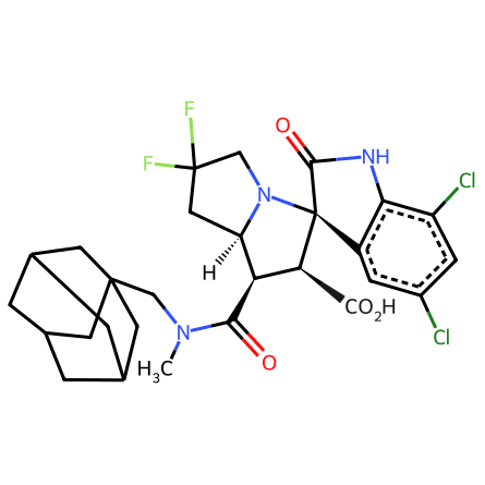 CN(CC12CC3CC(CC(C3)C1)C2)C(=O)[C@H]1[C@H]2CC(F)(F)CN2[C@]2(C(=O)Nc3c(Cl)cc(Cl)cc32)[C@H]1C(=O)O